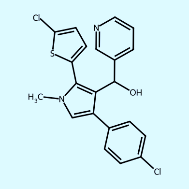 Cn1cc(-c2ccc(Cl)cc2)c(C(O)c2cccnc2)c1-c1ccc(Cl)s1